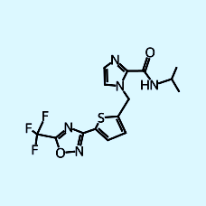 CC(C)NC(=O)c1nccn1Cc1ccc(-c2noc(C(F)(F)F)n2)s1